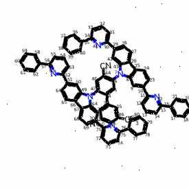 N#Cc1cc(-c2cc(-n3c4cc(-c5cccc(-c6ccccc6)n5)ccc4c4ccc(-c5cccc(-c6ccccc6)n5)cc43)c(C#N)cc2-n2c3cc(-c4cccc(-c5ccccc5)n4)ccc3c3ccc(-c4cccc(-c5ccccc5)n4)cc32)cc(C(F)(F)F)c1